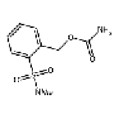 CNS(=O)(=O)c1ccccc1COC(N)=O